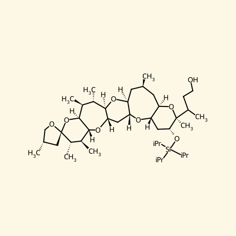 CC(CCO)[C@]1(C)O[C@@H]2C[C@H](C)C[C@@H]3O[C@@H]4[C@@H](C)[C@H](C)[C@@H]5O[C@]6(C[C@H](C)CO6)[C@@H](C)[C@H](C)[C@H]5O[C@H]4C[C@H]3O[C@H]2C[C@H]1O[Si](C(C)C)(C(C)C)C(C)C